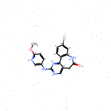 COc1ccc(Nc2ncc3c(n2)-c2ccc(Cl)cc2NC(=O)C3)cn1